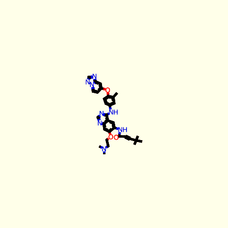 Cc1cc(Nc2ncnc3cc(OCCN(C)C)c(NC(=O)C#CC(C)(C)C)cc23)ccc1Oc1ccn2ncnc2c1